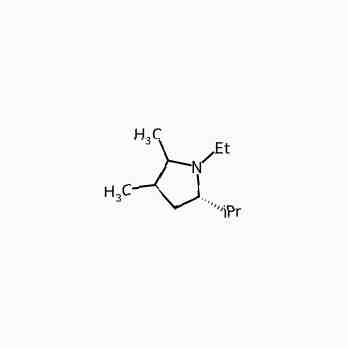 CCN1C(C)C(C)C[C@H]1C(C)C